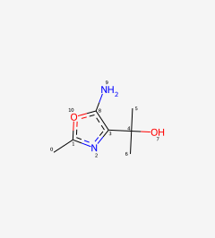 Cc1nc(C(C)(C)O)c(N)o1